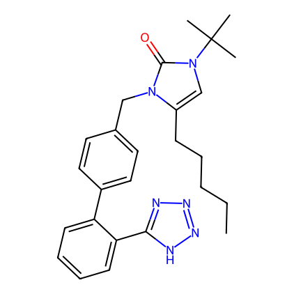 CCCCCc1cn(C(C)(C)C)c(=O)n1Cc1ccc(-c2ccccc2-c2nnn[nH]2)cc1